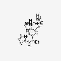 CCC1Nc2nccn2CC1CC(CP(N)(=O)O)c1nnn[nH]1